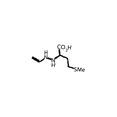 C=CNNC(CCSC)C(=O)O